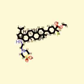 C=C(C)C1CC[C@]2(NCCN3CCS(=O)(=O)CC3)CC[C@]3(C)[C@H](CC[C@@H]4[C@@]5(C)CC=C(C6=CCC(CF)(C(=O)OCC)CC6)C(C)(C)[C@@H]5CC[C@]43C)[C@@H]12